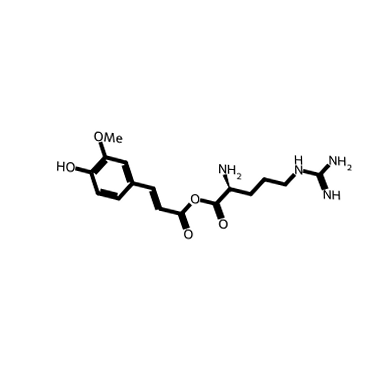 COc1cc(C=CC(=O)OC(=O)[C@@H](N)CCCNC(=N)N)ccc1O